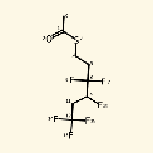 CC(=O)SCCC(F)(F)C(F)CC(F)(F)F